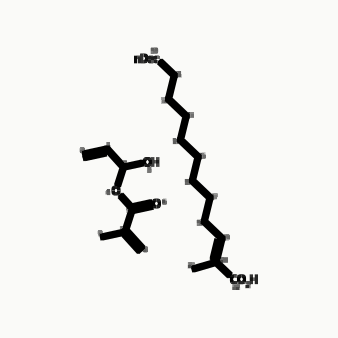 C=CC(O)OC(=O)C(=C)C.CCCCCCCCCCCCCCCCCCC=C(C)C(=O)O